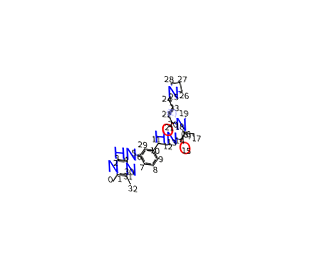 Cc1ncc(Nc2cccc(CCNC(=O)[C@H](C)N(C)C(=O)/C=C/CN3CCC3)c2)nc1C